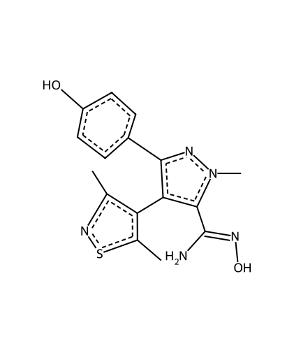 Cc1nsc(C)c1-c1c(-c2ccc(O)cc2)nn(C)c1/C(N)=N/O